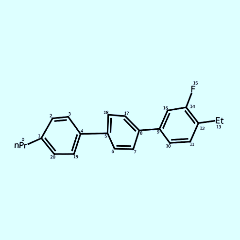 CCCc1ccc(-c2ccc(-c3ccc(CC)c(F)c3)cc2)cc1